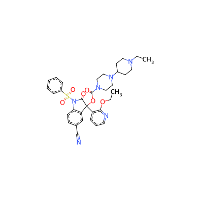 CCOc1ncccc1C1(OC(=O)N2CCN(C3CCN(CC)CC3)CC2)C(=O)N(S(=O)(=O)c2ccccc2)c2ccc(C#N)cc21